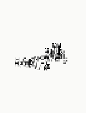 Cc1ncsc1-c1ccc(CNC(=O)[C@@H]2C[C@@H](O)CN2C(=O)[C@@H](NC(=O)C2(F)CC2)C(C)(C)C)c(OCCN2CCN(C(=O)OC(C)(C)C)CC2)c1